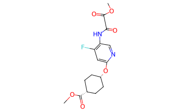 COC(=O)C(=O)Nc1cnc(O[C@H]2CC[C@@H](C(=O)OC)CC2)cc1F